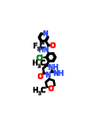 C[C@@H]1C[C@H](N2C(=N)N[C@](C)(c3cccc(NC(=O)c4cnccc4C(F)(F)F)c3Cl)CC2=O)CCO1